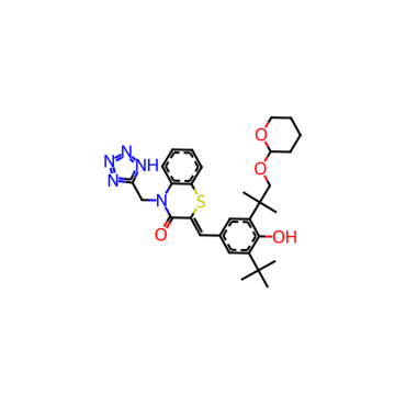 CC(C)(C)c1cc(C=C2Sc3ccccc3N(Cc3nnn[nH]3)C2=O)cc(C(C)(C)COC2CCCCO2)c1O